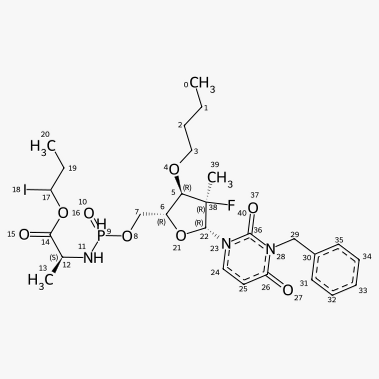 CCCCO[C@@H]1[C@@H](CO[PH](=O)N[C@@H](C)C(=O)OC(I)CC)O[C@@H](n2ccc(=O)n(Cc3ccccc3)c2=O)[C@]1(C)F